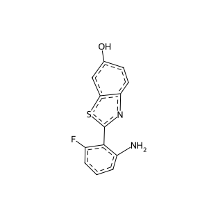 Nc1cccc(F)c1-c1nc2ccc(O)cc2s1